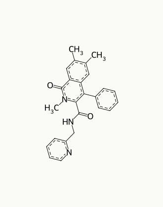 Cc1cc2c(-c3ccccc3)c(C(=O)NCc3ccccn3)n(C)c(=O)c2cc1C